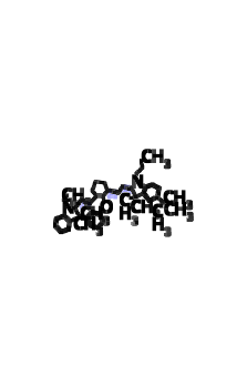 CCCCN1/C(=C/C=C2\CCCC(/C=C/C3=[N+](CC)c4ccccc4C3(C)C)=C2Oc2ccccc2)C(C)(C)c2cc(C(C)(C)C)ccc21